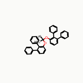 C[C]([Al])(Oc1cccc(-c2ccccc2)c1-c1ccccc1)Oc1cccc(-c2ccccc2)c1-c1ccccc1